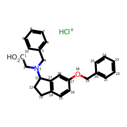 Cl.O=C(O)CN(Cc1ccccc1)C1CCc2ccc(OCc3ccccc3)cc21